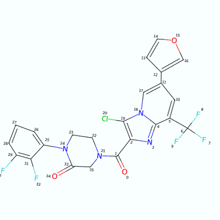 O=C(c1nc2c(C(F)(F)F)cc(-c3ccoc3)cn2c1Cl)N1CCN(c2cccc(F)c2F)C(=O)C1